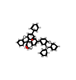 C1=CC2=C(CC1)C1(c3ccc(-c4ccccc4)cc3O2)c2ccccc2Oc2cc(-c3ccc4c(c3)N(c3ccccc3)c3ccccc3O4)ccc21